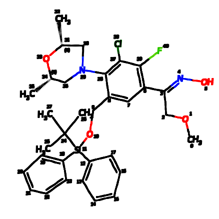 COCC(=NO)c1cc(CO[Si](c2ccccc2)(c2ccccc2)C(C)(C)C)c(N2C[C@@H](C)O[C@@H](C)C2)c(Cl)c1F